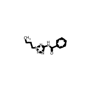 CCCCn1nnc(NC(=O)c2ccccc2)n1